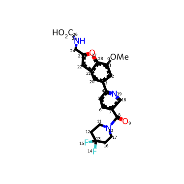 COc1cc(-c2ccc(C(=O)N3CCC(F)(F)CC3)cn2)cc2cc(CNC(=O)O)oc12